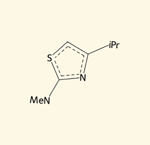 CNc1nc(C(C)C)cs1